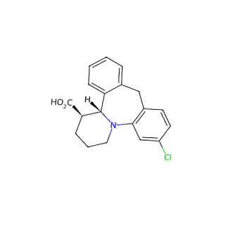 O=C(O)[C@@H]1CCCN2c3cc(Cl)ccc3Cc3ccccc3[C@@H]12